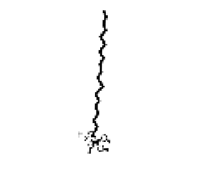 CCCCCCCCCCCCCCCCCC[SiH2][Si](OC)(OC)OC